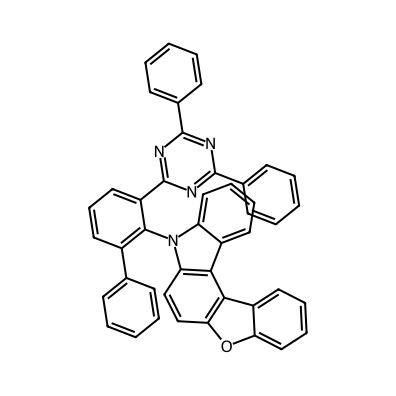 c1ccc(-c2nc(-c3ccccc3)nc(-c3cccc(-c4ccccc4)c3-n3c4ccccc4c4c5c(ccc43)oc3ccccc35)n2)cc1